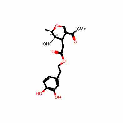 COC(=O)C1=CO[C@H](C)[C@@H](C=O)C1CC(=O)OCCc1ccc(O)c(O)c1